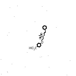 CS(=O)(=O)N(C/C=C/c1ccccc1)CCOc1ccc(C(=O)O)cc1